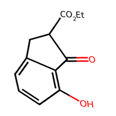 CCOC(=O)C1Cc2cccc(O)c2C1=O